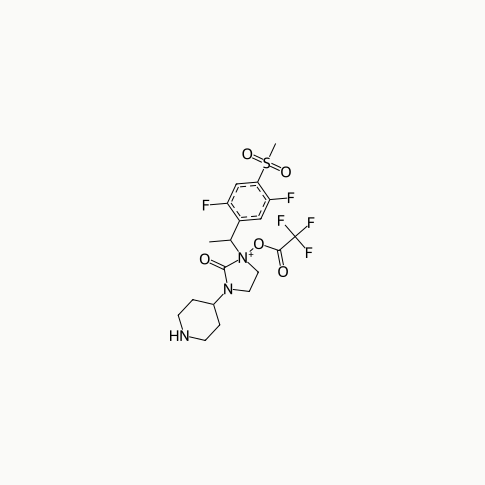 CC(c1cc(F)c(S(C)(=O)=O)cc1F)[N+]1(OC(=O)C(F)(F)F)CCN(C2CCNCC2)C1=O